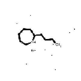 [CH2]CCCC1CCCCCN1.[LiH]